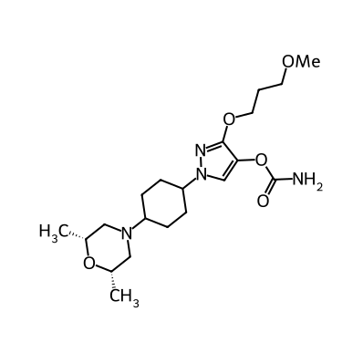 COCCCOc1nn(C2CCC(N3C[C@@H](C)O[C@@H](C)C3)CC2)cc1OC(N)=O